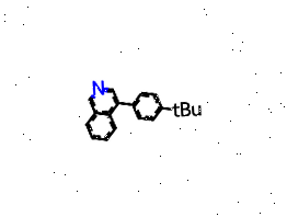 CC(C)(C)c1ccc(-c2cncc3ccccc23)cc1